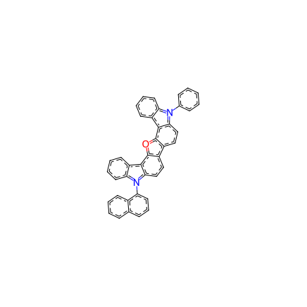 c1ccc(-n2c3ccccc3c3c4oc5c(ccc6c5c5ccccc5n6-c5cccc6ccccc56)c4ccc32)cc1